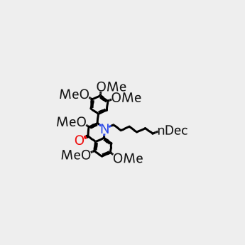 CCCCCCCCCCCCCCCCn1c(-c2cc(OC)c(OC)c(OC)c2)c(OC)c(=O)c2c(OC)cc(OC)cc21